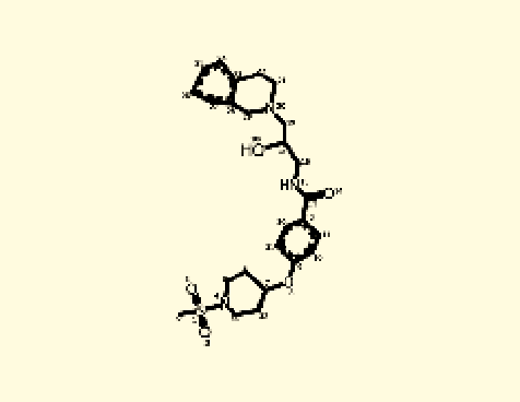 CS(=O)(=O)N1CCC(Oc2ccc(C(=O)NCC(O)CN3CCc4ccccc4C3)cc2)CC1